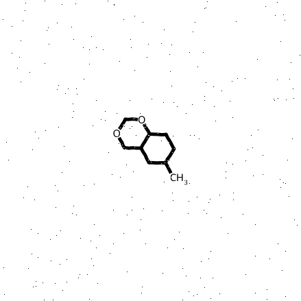 CC1CCC2OCOCC2C1